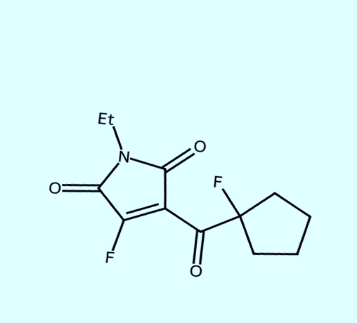 CCN1C(=O)C(F)=C(C(=O)C2(F)CCCC2)C1=O